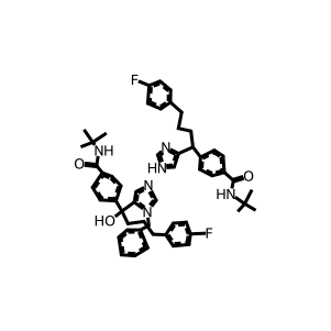 CC(C)(C)NC(=O)c1ccc(C(CCCc2ccc(F)cc2)c2c[nH]cn2)cc1.CC(C)(C)NC(=O)c1ccc(C(O)(CCCc2ccc(F)cc2)c2cncn2Cc2ccccc2)cc1